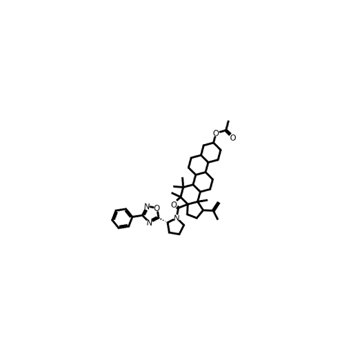 C=C(C)C1CCC2(C(=O)N3CCC[C@@H]3c3nc(-c4ccccc4)no3)C1(C)C1CCC3C4CCC(OC(C)=O)CC4CCC3C1C(C)(C)C2(C)C